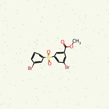 COC(=O)c1cc(Br)cc(S(=O)(=O)c2cccc(Br)c2)c1